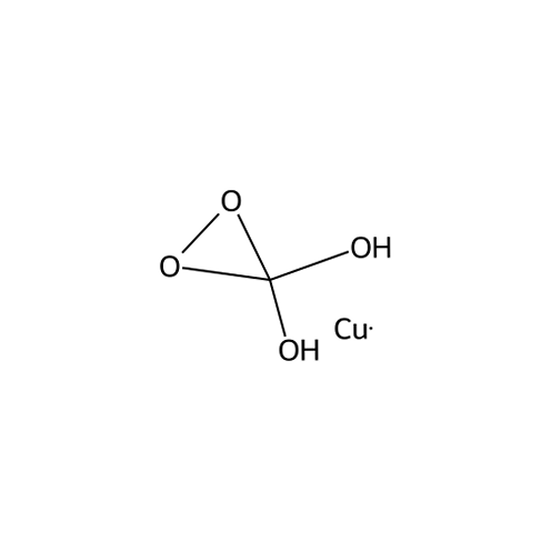 OC1(O)OO1.[Cu]